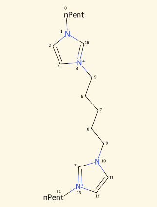 CCCCCn1cc[n+](CCCCCn2cc[n+](CCCCC)c2)c1